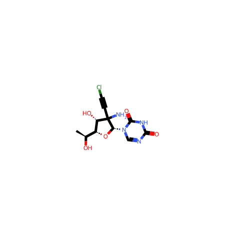 C[C@H](O)[C@H]1O[C@@H](n2cnc(=O)[nH]c2=O)C(N)(C#CCl)[C@H]1O